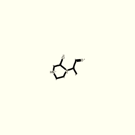 CC(C=O)N1CCNCC1Cl